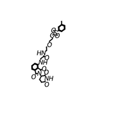 Cc1cccc(S(=O)(=O)OCCOCCNC(=O)CNc2cccc3c2C(=O)N(C2CCC(=O)NC2=O)C3=O)c1